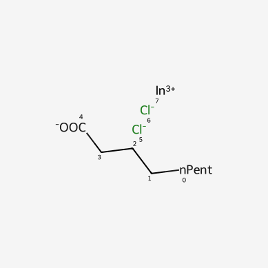 CCCCCCCCC(=O)[O-].[Cl-].[Cl-].[In+3]